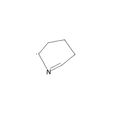 [CH]1CCCC=N1